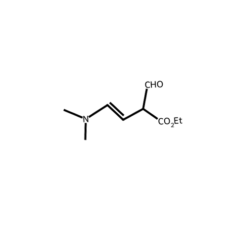 CCOC(=O)C(C=O)C=CN(C)C